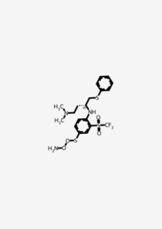 CN(C)CC[C@H](CSc1ccccc1)Nc1ccc(SOON)cc1S(=O)(=O)C(F)(F)F